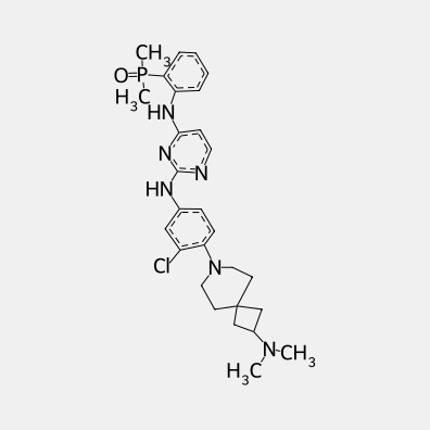 CN(C)C1CC2(CCN(c3ccc(Nc4nccc(Nc5ccccc5P(C)(C)=O)n4)cc3Cl)CC2)C1